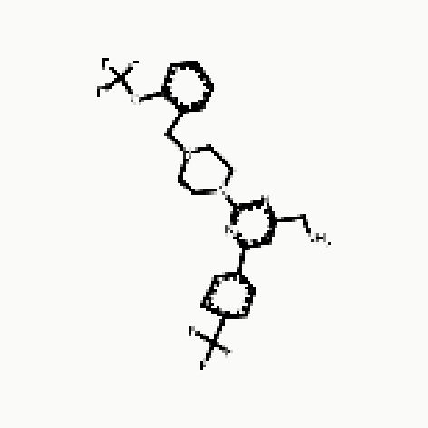 NCc1cc(-c2ccc(C(F)(F)F)cc2)nc(N2CCN(Cc3ccccc3OC(F)(F)F)CC2)n1